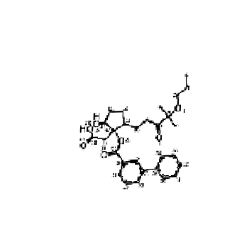 CCCOC(C)(C)C(=O)CCC1CCC(O)C1(CC(=O)O)OC(=O)c1cccc(-c2ccccc2)c1